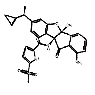 C[C@@H](c1ccc2c(c1)O[C@]1(O)c3cccc(N)c3C(=O)[C@]21NC(=O)c1ccc(S(C)(=O)=O)[nH]1)C1CC1